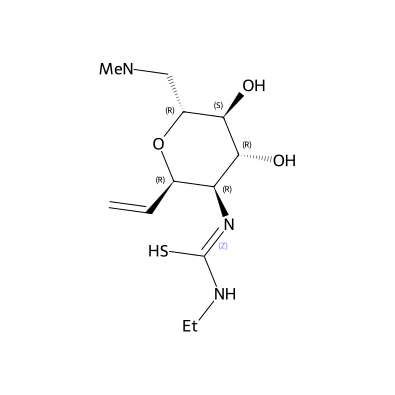 C=C[C@H]1O[C@H](CNC)[C@@H](O)[C@H](O)[C@H]1/N=C(\S)NCC